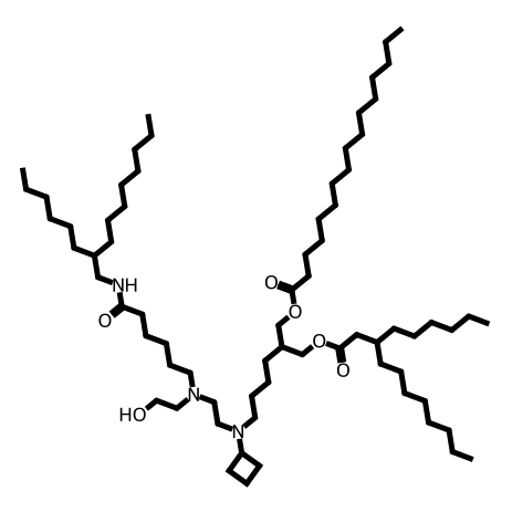 CCCCCCCCCCCCCCCC(=O)OCC(CCCCN(CCN(CCO)CCCCCC(=O)NCC(CCCCCC)CCCCCCCC)C1CCC1)COC(=O)CC(CCCCCC)CCCCCCCC